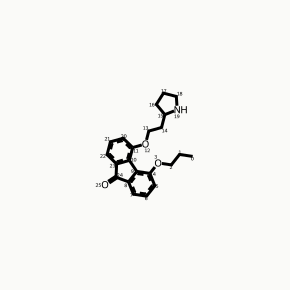 CCCOc1cccc2c1-c1c(OCCC3CCCN3)cccc1C2=O